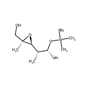 CCC[C@@H](O[Si](C)(C)C(C)(C)C)[C@H](C)[C@@H]1O[C@]1(C)CO